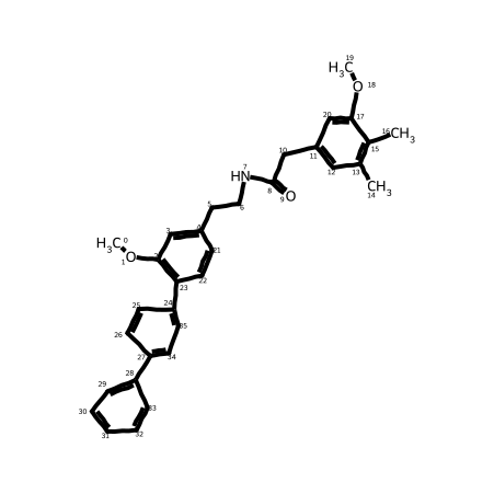 COc1cc(CCNC(=O)Cc2cc(C)c(C)c(OC)c2)ccc1-c1ccc(-c2ccccc2)cc1